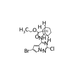 CCOC(=O)[C@@H]1C(Nc2nc(Cl)nn3cc(Br)cc23)[C@H]2CC[C@@H]1CC2